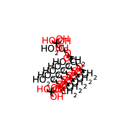 C=CC(=O)OCCC(=O)O.C=CC(=O)OCCC(=O)O.C=CC(=O)OCCC(=O)O.C=CC(=O)OCCC(=O)O.C=CC(=O)OCCC(=O)O.C=CC(=O)OCCC(=O)O.OCC(CO)(CO)CO.OCC(CO)(CO)CO